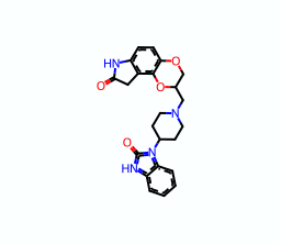 O=C1Cc2c(ccc3c2OC(CN2CCC(n4c(=O)[nH]c5ccccc54)CC2)CO3)N1